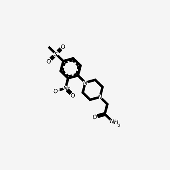 CS(=O)(=O)c1ccc(N2CCN(CC(N)=O)CC2)c([N+](=O)[O-])c1